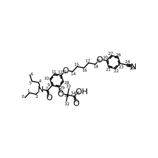 CCCN(CCC)C(=O)c1ccc(OCCCCCOc2ccc(C#N)cc2)cc1OC(C)(C)C(=O)O